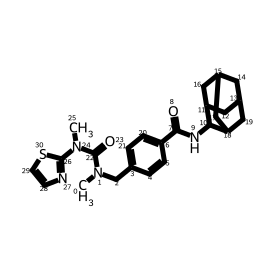 CN(Cc1ccc(C(=O)NC2C3CC4CC(C3)CC2C4)cc1)C(=O)N(C)c1nccs1